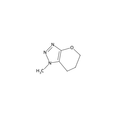 Cn1nnc2c1CCCO2